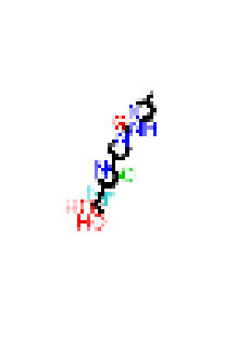 Cc1ccc(NC(=O)N2CC=C(c3ncc(C(F)(F)[C@@H](O)CO)cc3Cl)CC2)nc1